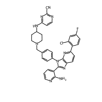 N#Cc1nccc(NC2CCN(Cc3ccc(-n4c(-c5cccnc5N)nc5ccc(-c6ccc(F)cc6Cl)nc54)cc3)CC2)n1